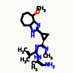 C=C(C)/C(=N/C(=N\C)[C@H]1CC1C1=NC2C(CCCCC2OC)N1)N/C(C)=C\N